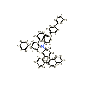 c1ccc(-c2ccc(-c3ccc(N(c4ccc(-c5c(-c6ccccc6)ccc6ccccc56)cc4)c4ccc(-c5ccccc5)cc4-c4ccccc4)cc3)cc2)cc1